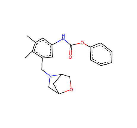 Cc1cc(NC(=O)Oc2ccccc2)cc(CN2CC3CC2CO3)c1C